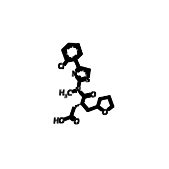 CN(C(=O)[C@@H](CC(=O)O)CC1CCCO1)c1nc(-c2ccccc2Cl)cs1